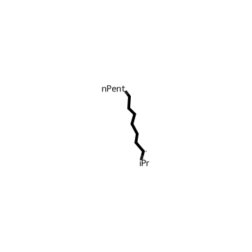 CCCCCCCCCCC[CH]C(C)C